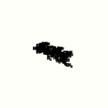 C/C=C/C[C@@H](C)[C@@H](O)[C@@H](C(=O)N[C@H](C(=O)O)[C@@H](C)O)N(C)C(=O)[C@H](C(C)C)N(C)C(=O)[C@H](CC(C)C)NC(=O)[C@H](CC(C)C)N(C)C(=O)[C@@H](C)NC(=O)[C@H](C)NC(=O)[C@H](CC(C)C)N(C)C(=O)[C@H](CC(C)C)NC(=O)[C@H](C(C)O)N(C)C(=O)[C@@H](CC)NC